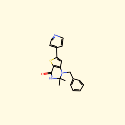 CC1(C)NC(=O)c2sc(-c3ccncc3)cc2N1Cc1ccccc1